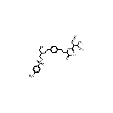 Cc1ccc(S(=O)(=O)OCC(CO)COc2ccc(CCC(NC(=O)[C@@H](N=[N+]=[N-])C(C)C)C(=O)O)cc2)cc1